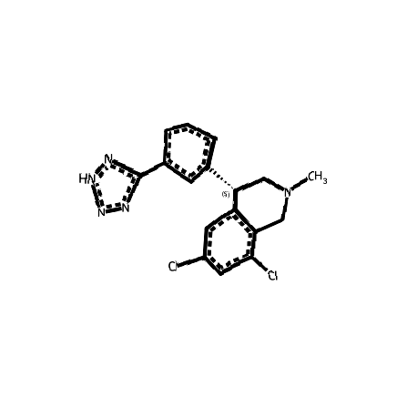 CN1Cc2c(Cl)cc(Cl)cc2[C@H](c2cccc(-c3nn[nH]n3)c2)C1